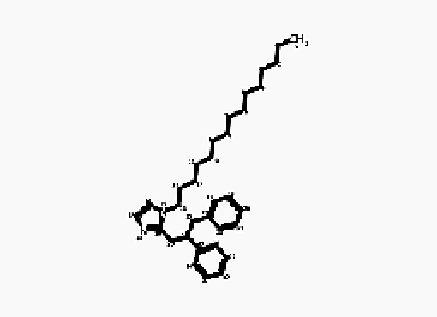 CCCCCCCCCCCCCCCn1ccnc1CC(Cc1ccccc1)c1ccccc1